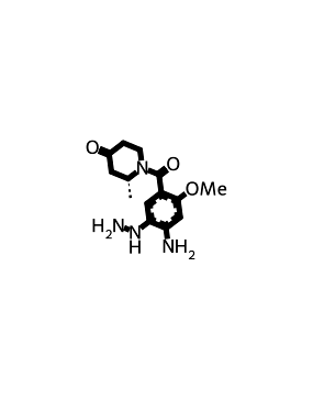 COc1cc(N)c(NN)cc1C(=O)N1CCC(=O)C[C@H]1C